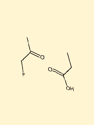 CC(=O)CF.CCC(=O)O